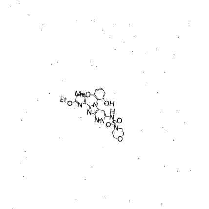 CCOC1=NC(c2nc3nnc(NS(=O)(=O)N4CCOCC4)cc3n2-c2c(O)cccc2OC)=C=C=C1